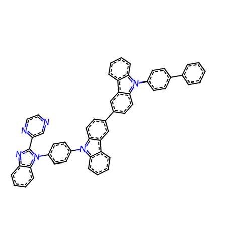 c1ccc(-c2ccc(-n3c4ccccc4c4cc(-c5ccc6c(c5)c5ccccc5n6-c5ccc(-n6c(-c7cnccn7)nc7ccccc76)cc5)ccc43)cc2)cc1